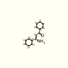 NC(=CC(=O)c1ccccc1)c1ccccc1